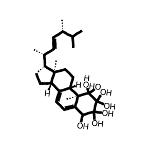 CC(C)[C@@H](C)/C=C/[C@@H](C)[C@H]1CC[C@H]2C3=CC=C4C(O)C(O)(O)C(O)(O)C(O)(O)[C@]4(C)[C@H]3CC[C@]12C